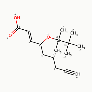 C#CCCCC(/C=C/C(=O)O)O[Si](C)(C)C(C)(C)C